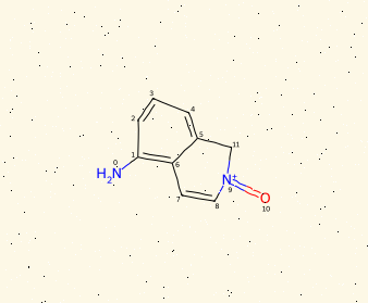 Nc1cccc2c1C=C[N+](=O)C2